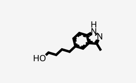 Cc1n[nH]c2ccc(CCCCO)cc12